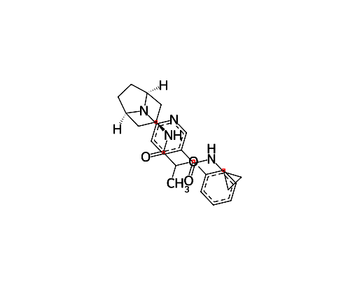 CC(Oc1ccccc1)C(=O)N[C@H]1C[C@H]2CC[C@@H](C1)N2c1ccc(C(=O)NC2CC2)cn1